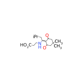 CC(C)CC(NCCC(=O)O)=C1C(=O)CC(C)(C)CC1=O